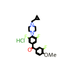 COc1ccc(C(=O)c2cc(F)c(N3CCN(CC4CC4)CC3)c(F)c2)cc1F.Cl